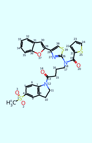 CS(=O)(=O)c1ccc2c(c1)CCN2C(=O)CCCN(C(=O)c1cccs1)c1nc(-c2cc3ccccc3o2)cs1